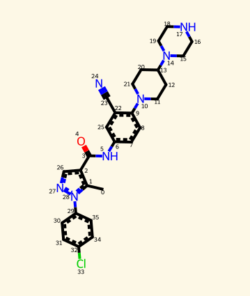 Cc1c(C(=O)Nc2ccc(N3CCC(N4CCNCC4)CC3)c(C#N)c2)cnn1-c1ccc(Cl)cc1